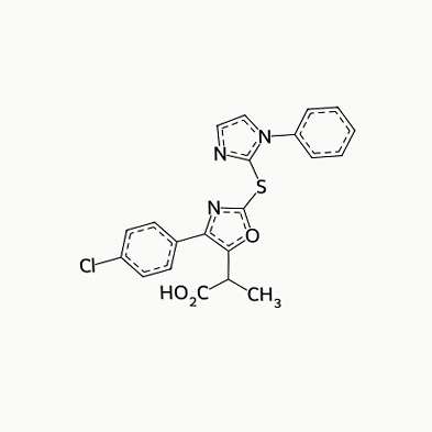 CC(C(=O)O)c1oc(Sc2nccn2-c2ccccc2)nc1-c1ccc(Cl)cc1